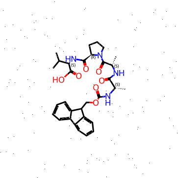 CC(C)[C@H](NC(=O)[C@H]1CCCN1C(=O)[C@H](C)NC(=O)[C@H](C)NC(=O)OCC1c2ccccc2-c2ccccc21)C(=O)O